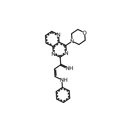 N=C(/C=C\Nc1ccccc1)c1nc(N2CCOCC2)c2ncccc2n1